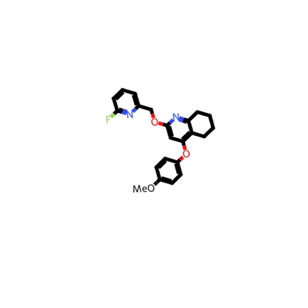 COc1ccc(Oc2cc(OCc3cccc(F)n3)nc3c2CCCC3)cc1